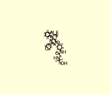 CC(C)(CO)NCC(=O)N[C@H]1CC[C@H](Oc2cc(-n3c(C(F)F)nc4ccccc43)nc(N3CCOCC3)n2)CC1